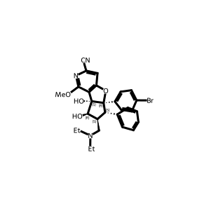 CCN(CC)C[C@H]1[C@@H](O)[C@@]2(O)c3c(cc(C#N)nc3OC)O[C@@]2(c2ccc(Br)cc2)[C@@H]1c1ccccc1